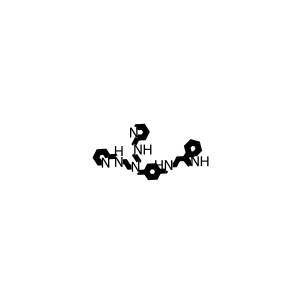 c1ccc(CNCCN(CCNCc2ccccn2)Cc2ccc(CNCCc3c[nH]c4ccccc34)cc2)nc1